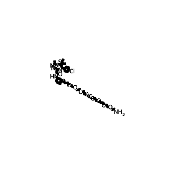 Cc1sc2c(c1C)C(c1ccc(Cl)cc1)=NC(CC(=O)Nc1cccc(OCCOCCOCCOCCOCCOCCOCCOCCOCCN)c1)c1nnc(C)n1-2